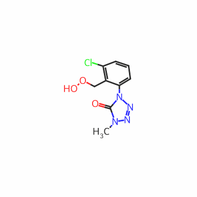 Cn1nnn(-c2cccc(Cl)c2COO)c1=O